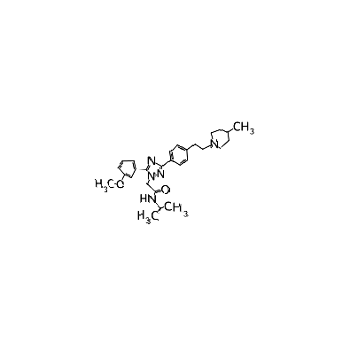 COc1cccc(-c2nc(-c3ccc(CCN4CCC(C)CC4)cc3)nn2CC(=O)NC(C)C)c1